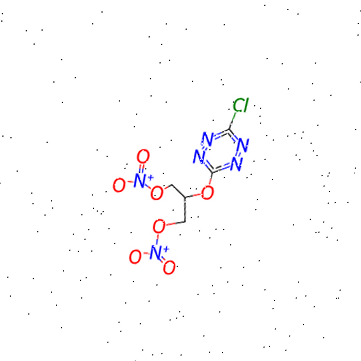 O=[N+]([O-])OCC(CO[N+](=O)[O-])Oc1nnc(Cl)nn1